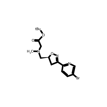 CN(CC(=O)OC(C)(C)C)C[C@@H]1CC(c2ccc(Br)cn2)=NO1